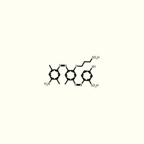 Cc1cc(/N=N\c2cc(C)c(/N=N\c3ccc(S)cc3S(=O)(=O)O)cc2OCCCS(=O)(=O)O)c(C)cc1N